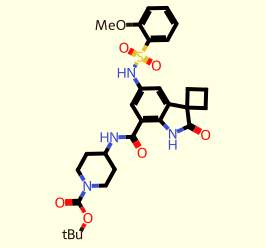 COc1ccccc1S(=O)(=O)Nc1cc(C(=O)NC2CCN(C(=O)OC(C)(C)C)CC2)c2c(c1)C1(CCC1)C(=O)N2